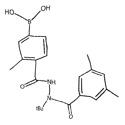 Cc1cc(C)cc(C(=O)N(NC(=O)c2ccc(B(O)O)cc2C)C(C)(C)C)c1